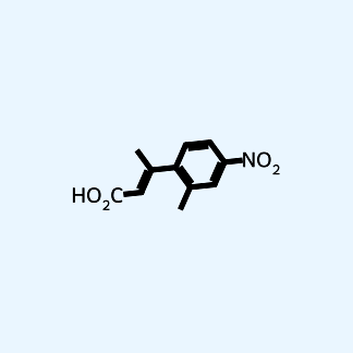 CC(=CC(=O)O)c1ccc([N+](=O)[O-])cc1C